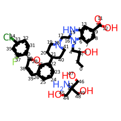 CC[C@H](O)CN1c2ccc(C(=O)O)cc2NC1CN1CCC(c2cccc3c2O[C@@H](c2ccc(Cl)cc2F)C=C3)CC1.NC(CO)(CO)CO